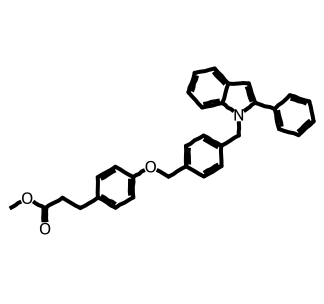 COC(=O)CCc1ccc(OCc2ccc(Cn3c(-c4ccccc4)cc4ccccc43)cc2)cc1